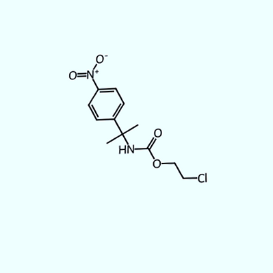 CC(C)(NC(=O)OCCCl)c1ccc([N+](=O)[O-])cc1